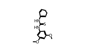 COc1cc(NC(=S)NC2=CC[CH]C=C2)cc(OC)c1